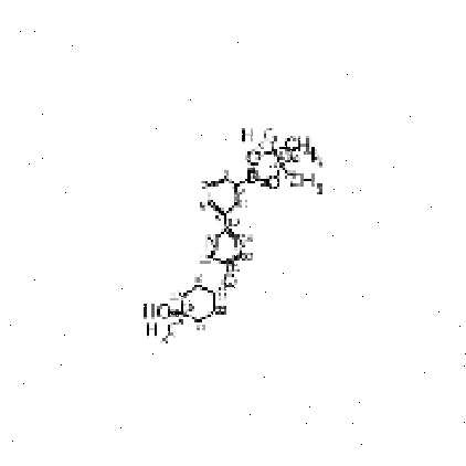 CC1(C)OB(c2cccc(-c3ncc(O[C@H]4CC[C@](C)(O)CC4)cn3)c2)OC1(C)C